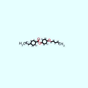 [CH2+][CH-]CC1CCC(C(=O)OC2CCC(OCCCCC)CC2)CC1